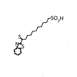 O=S(=O)(O)CCCCCCCCCCC(=S)c1nc2ccccc2s1